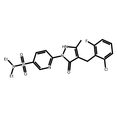 CCN(CC)S(=O)(=O)c1ccc(-n2[nH]c(C)c(Cc3c(F)cccc3Cl)c2=O)nc1